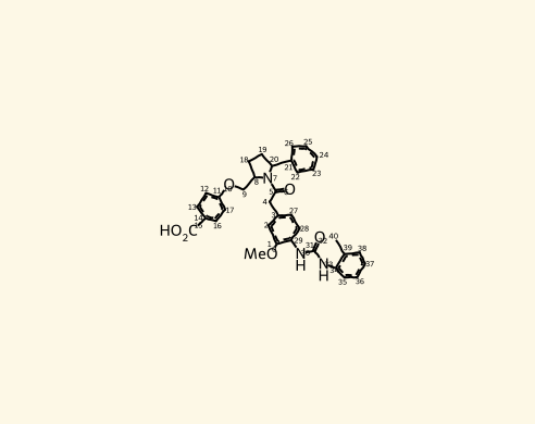 COc1cc(CC(=O)N2C(COc3ccc(C(=O)O)cc3)CCC2c2ccccc2)ccc1NC(=O)Nc1ccccc1C